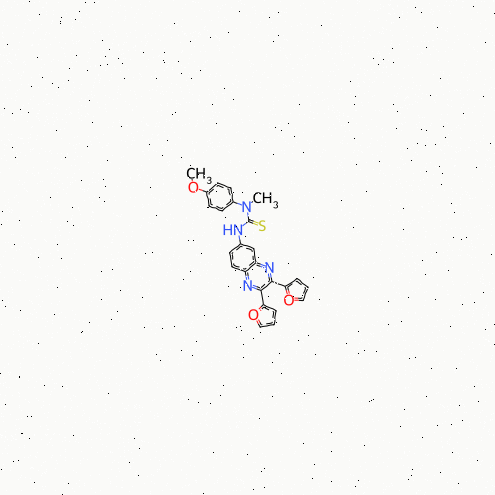 COc1ccc(N(C)C(=S)Nc2ccc3nc(-c4ccco4)c(-c4ccco4)nc3c2)cc1